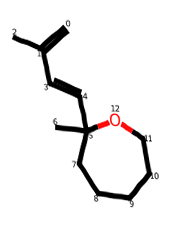 C=C(C)/C=C/C1(C)CCCCCO1